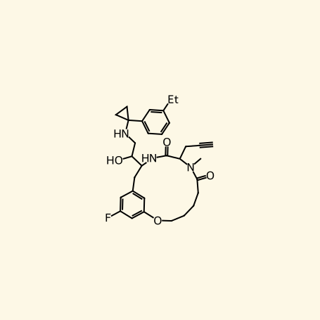 C#CCC1C(=O)NC(C(O)CNC2(c3cccc(CC)c3)CC2)Cc2cc(F)cc(c2)OCCCCC(=O)N1C